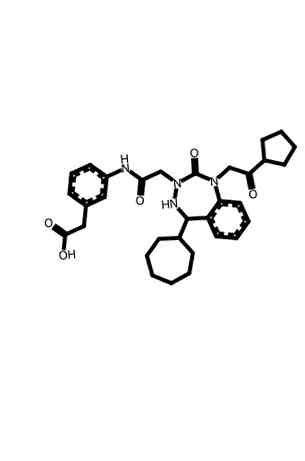 O=C(O)Cc1cccc(NC(=O)CN2NC(C3CCCCCC3)c3ccccc3N(CC(=O)C3CCCC3)C2=O)c1